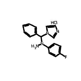 Cl.NN(c1ccc(F)cc1)C(c1ccccc1)n1ccnc1